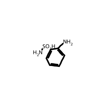 NS(=O)(=O)O.Nc1ccccc1